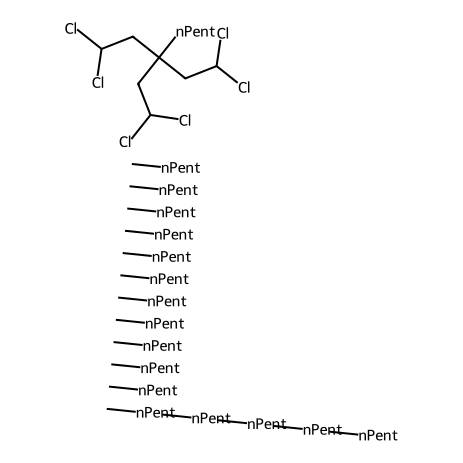 CCCCCC.CCCCCC.CCCCCC.CCCCCC.CCCCCC.CCCCCC.CCCCCC.CCCCCC.CCCCCC.CCCCCC.CCCCCC.CCCCCC.CCCCCC.CCCCCC.CCCCCC.CCCCCC.CCCCCC(CC(Cl)Cl)(CC(Cl)Cl)CC(Cl)Cl